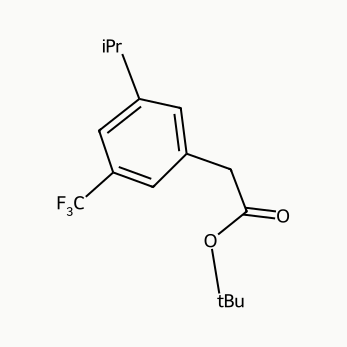 CC(C)c1cc(CC(=O)OC(C)(C)C)cc(C(F)(F)F)c1